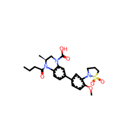 CCCC(=O)N1c2ccc(-c3ccc(OC)c(N4CCCS4(=O)=O)c3)cc2N(C(=O)O)C[C@@H]1C